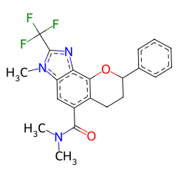 CN(C)C(=O)c1cc2c(nc(C(F)(F)F)n2C)c2c1CCC(c1ccccc1)O2